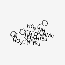 CN[C@H](C(=O)N[C@@H](Cc1ccccc1)[C@@H](O)CN(Cc1ccc(-c2ccccn2)cc1)NC(=O)[C@@H](N(C)C(C)(C(=O)O)C(=O)O)C(C)(C)C)C(C)(C)C